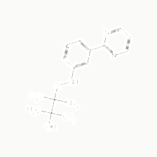 CC(C)(O)C(C)(C)OBc1cccc(-c2ncccn2)c1